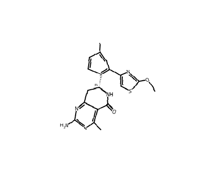 COc1nc(-c2cc(C)ccc2[C@H]2Cc3nc(N)nc(C)c3C(=O)N2)cs1